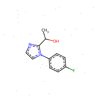 CC(O)c1nccn1-c1ccc(F)cc1